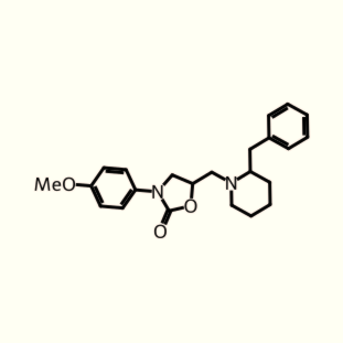 COc1ccc(N2CC(CN3CCCCC3Cc3ccccc3)OC2=O)cc1